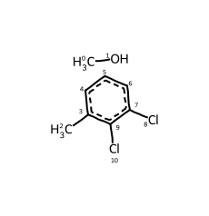 CO.Cc1cccc(Cl)c1Cl